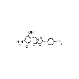 Nc1cc(O)c(Cn2nc(-c3ccc(C(F)(F)F)cc3)oc2=O)cc1Cl